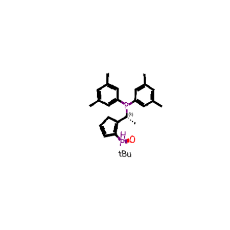 Cc1cc(C)cc(P(c2cc(C)cc(C)c2)[C@H](C)C2=C([PH](=O)C(C)(C)C)C=CC2)c1